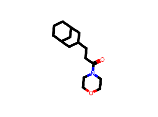 O=C(CCC1CC2CCCC(C2)C1)N1CCOCC1